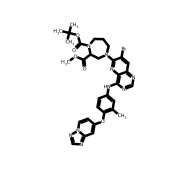 COC(=O)C1CN(c2nc3c(Nc4ccc(Oc5ccn6ncnc6c5)c(C)c4)ncnc3cc2Br)CCCN1C(=O)OC(C)(C)C